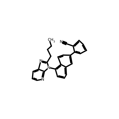 CCCCc1nc2cccnc2n1-c1cccc2cc(-c3ccccc3C#N)ccc12